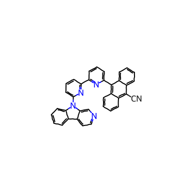 N#Cc1c2ccccc2c(-c2cccc(-c3cccc(-n4c5ccccc5c5ccncc54)n3)n2)c2ccccc12